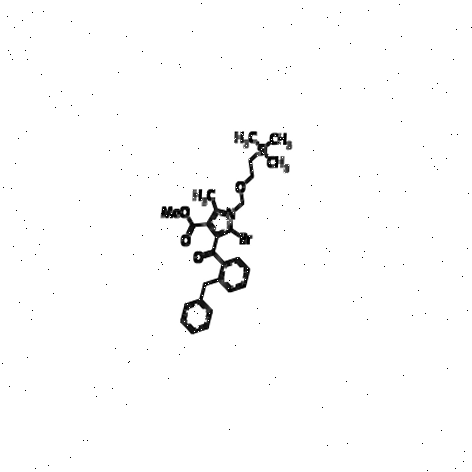 COC(=O)c1c(C(=O)c2ccccc2Cc2ccccc2)c(Br)n(COCC[Si](C)(C)C)c1C